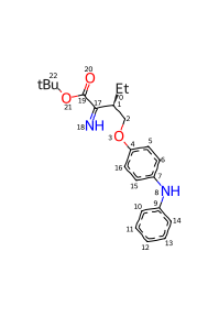 CC[C@@H](COc1ccc(Nc2ccccc2)cc1)C(=N)C(=O)OC(C)(C)C